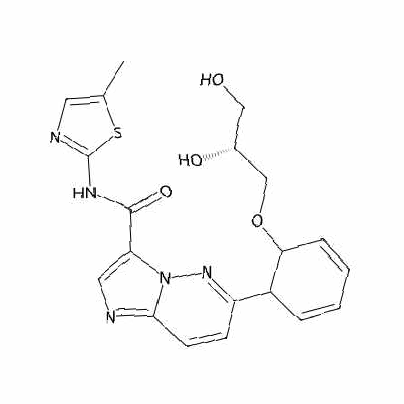 Cc1cnc(NC(=O)c2cnc3ccc(C4C=CC=CC4OC[C@H](O)CO)nn23)s1